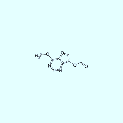 O=COc1coc2c(OP)ncnc12